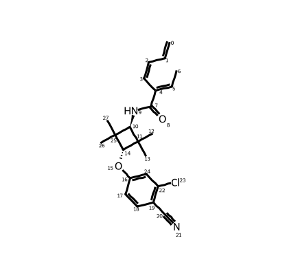 C=C/C=C\C(=C/C)C(=O)N[C@H]1C(C)(C)[C@H](Oc2ccc(C#N)c(Cl)c2)C1(C)C